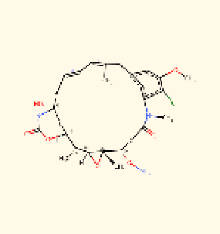 COc1cc2cc(c1Cl)N(C)C(=O)C[C@H](ON)[C@]1(C)O[C@H]1[C@H](C)[C@@H]1C[C@](O)(C/C=C/C=C(\C)C2)NC(=O)O1